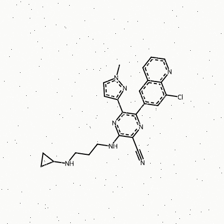 Cn1ccc(-c2nc(NCCCNC3CC3)c(C#N)nc2-c2cc(Cl)c3ncccc3c2)n1